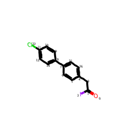 O=C(I)Cc1ccc(-c2ccc(Cl)cc2)cc1